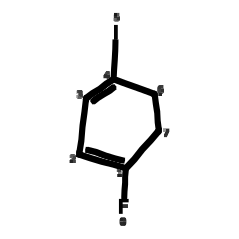 FC1=CC=C(I)[CH]C1